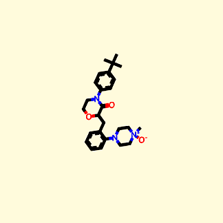 CC(C)(C)c1ccc(N2CCOC(Cc3ccccc3N3CC[N+](C)([O-])CC3)C2=O)cc1